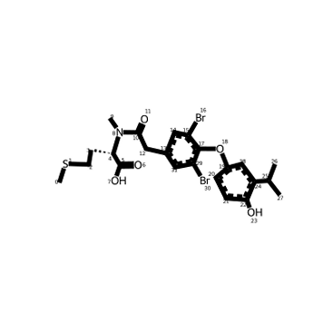 CSCC[C@@H](C(=O)O)N(C)C(=O)Cc1cc(Br)c(Oc2ccc(O)c(C(C)C)c2)c(Br)c1